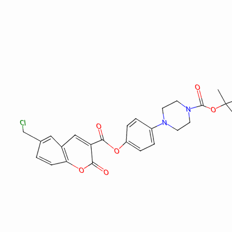 CC(C)(C)OC(=O)N1CCN(c2ccc(OC(=O)c3cc4cc(CCl)ccc4oc3=O)cc2)CC1